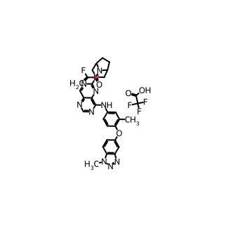 C=C(F)C(=O)N1C2CCC1CN(c1ncc3ncnc(Nc4ccc(Oc5ccc6c(c5)nnn6C)c(C)c4)c3n1)C2.O=C(O)C(F)(F)F